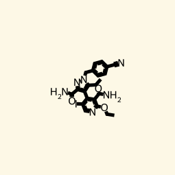 CCOc1ncc(I)c(-c2c(C(N)=O)nn(Cc3ccc(C#N)cc3)c2CC)c1C(N)=O